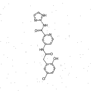 O=C(Cc1cc(Cl)ccc1O)Nc1ccnc(C(=O)Nc2ncc[nH]2)c1